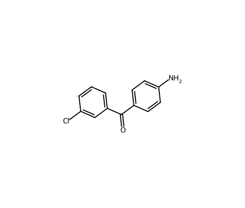 Nc1ccc(C(=O)c2cc[c]c(Cl)c2)cc1